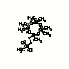 C[Si](Cl)(Cl)CC[Si]1(C)O[Si](C)(C)O[Si](C)(C)O[Si](C)(C)O1